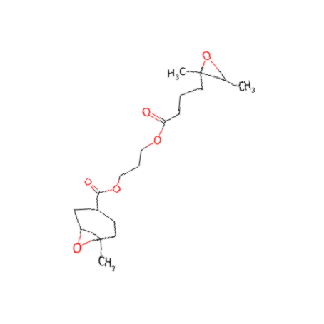 CC1OC1(C)CCCC(=O)OCCCOC(=O)C1CCC2(C)OC2C1